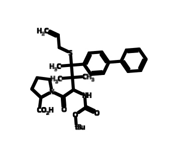 C=CCSC(C)(c1ccc(-c2ccccc2)cc1)C(C)(C)C(NC(=O)OC(C)(C)C)C(=O)N1CCCC1C(=O)O